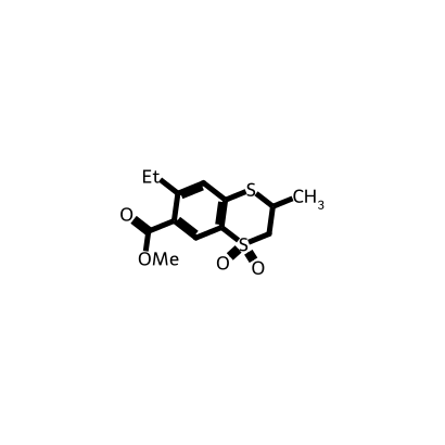 CCc1cc2c(cc1C(=O)OC)S(=O)(=O)CC(C)S2